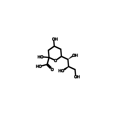 O=C(O)C1(O)CC(O)CC([C@H](O)[C@H](O)CO)O1